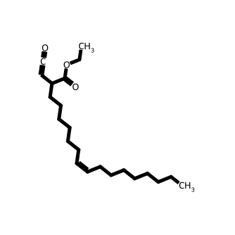 CCCCCCCC/C=C\CCCCCCC(C=C=O)C(=O)OCC